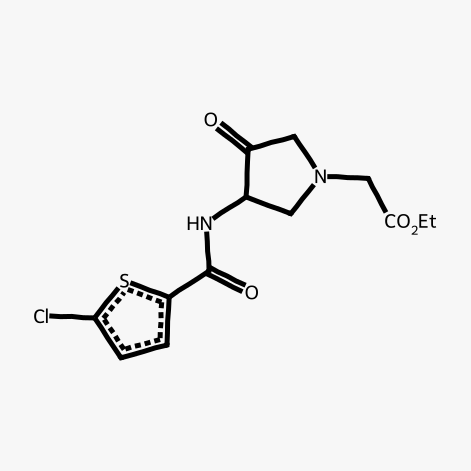 CCOC(=O)CN1CC(=O)C(NC(=O)c2ccc(Cl)s2)C1